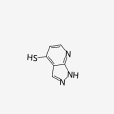 Sc1ccnc2[nH]ncc12